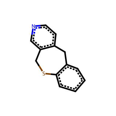 c1ccc2c(c1)Cc1ccncc1CS2